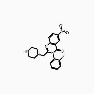 O=c1c2cc([N+](=O)[O-])ccc2nc(CN2CCNCC2)n1-c1ccccc1F